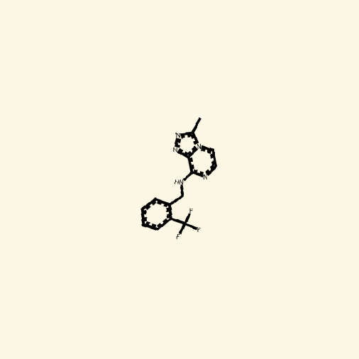 Cc1nnc2c(NCc3ccccc3C(F)(F)F)nccn12